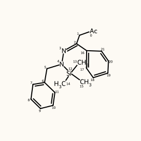 CC(=O)CC(=NN(Cc1ccccc1)[Si](C)(C)C)c1ccccc1